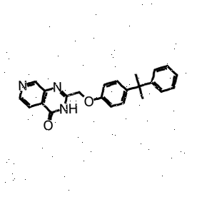 CC(C)(c1ccccc1)c1ccc(OCc2nc3cnccc3c(=O)[nH]2)cc1